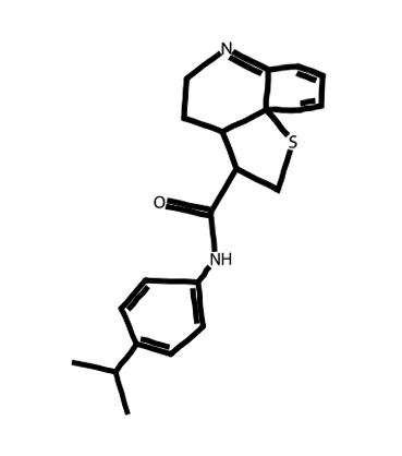 CC(C)c1ccc(NC(=O)C2CSC34C=CC=CC3=NCCC24)cc1